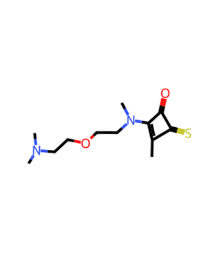 Cc1c(N(C)CCOCCN(C)C)c(=O)c1=S